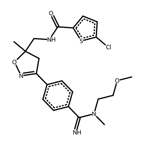 COCCN(C)C(=N)c1ccc(C2=NOC(C)(CNC(=O)c3ccc(Cl)s3)C2)cc1